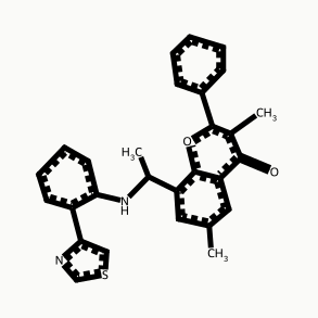 Cc1cc(C(C)Nc2ccccc2-c2cscn2)c2oc(-c3ccccc3)c(C)c(=O)c2c1